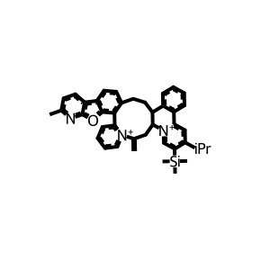 C=C1CC2C(CCc3ccc4c(oc5nc(C)ccc54)c3-c3cccc[n+]31)c1ccccc1-c1cc(C(C)C)c([Si](C)(C)C)c[n+]12